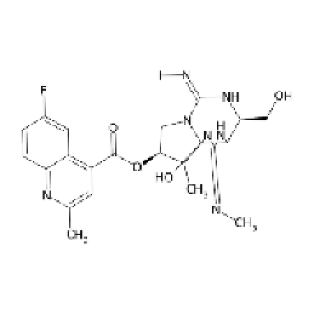 C/N=C1\NC2[C@H](CO)N/C(=N/I)N3C[C@H](OC(=O)c4cc(C)nc5ccc(F)cc45)C(C)C23N1O